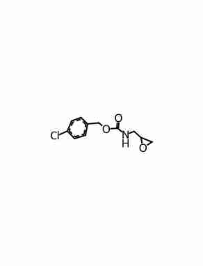 O=C(NCC1CO1)OCc1ccc(Cl)cc1